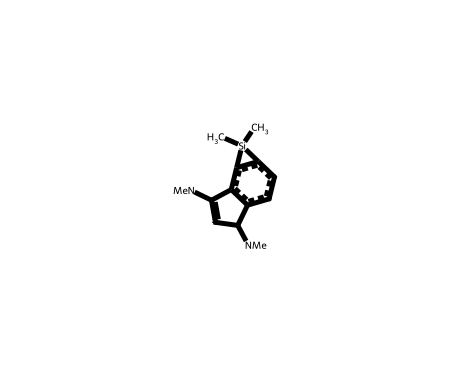 CNC1=[C]C(NC)c2ccc3c(c21)[Si]3(C)C